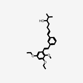 CCOc1cc(C=Cc2cccc(C=CCCC(O)C(C)C)c2)c(OC)c(OCC)c1